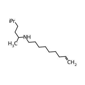 C=CCCCCCCCNC(C)CCC(C)C